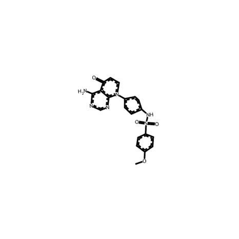 COc1ccc(S(=O)(=O)Nc2ccc(-n3ccc(=O)c4c(N)ncnc43)cc2)cc1